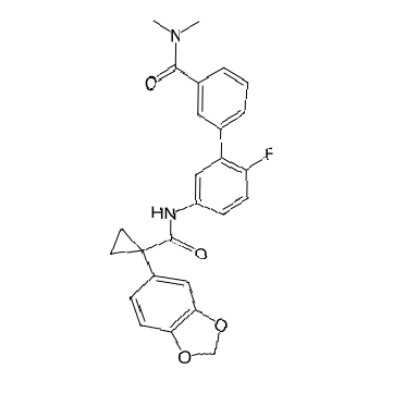 CN(C)C(=O)c1cccc(-c2cc(NC(=O)C3(c4ccc5c(c4)OCO5)CC3)ccc2F)c1